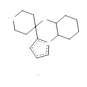 Cl.Cl.c1cc2n(c1)C1CCCCC1NC21CCNCC1